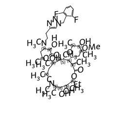 CC[C@H]1OC(=O)[C@H](C)[C@@H](C2C[C@@](C)(OC)[C@@H](O)[C@H](C)O2)[C@H](C)[C@@H](O[C@@H]2O[C@H](C)C[C@H](N(C)CCc3cn(Cc4c(F)cccc4F)nn3)[C@H]2O)[C@](C)(O)C[C@@H](C)CN(C)[C@H](C)[C@@H](O)[C@]1(C)O